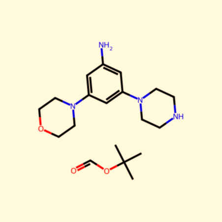 CC(C)(C)OC=O.Nc1cc(N2CCNCC2)cc(N2CCOCC2)c1